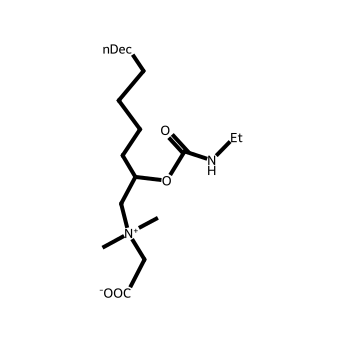 CCCCCCCCCCCCCCC(C[N+](C)(C)CC(=O)[O-])OC(=O)NCC